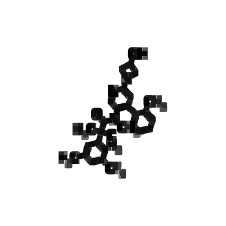 Cc1ccccc1-c1cc(N2CC(O)C2)ncc1N(C)C(=O)C(C)(C)c1cc(C(F)(F)F)cc(C(F)(F)F)c1